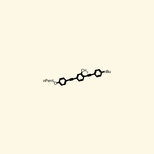 CCCCCOc1ccc(C#Cc2ccc(C#Cc3ccc(CCCC)cc3)c(C)c2)cc1